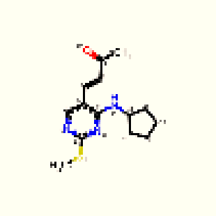 CSc1ncc(C=CC(C)=O)c(NC2CCCC2)n1